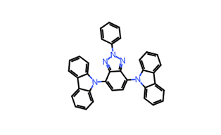 c1ccc(-n2nc3c(-n4c5ccccc5c5ccccc54)ccc(-n4c5ccccc5c5ccccc54)c3n2)cc1